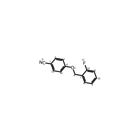 N#Cc1ccc(OCc2ccccc2F)cc1